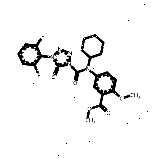 COC(=O)c1cc(N(C(=O)n2nnn(-c3c(F)cccc3F)c2=O)C2CCCCC2)ccc1OC